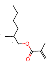 C=C(C)C(=O)OCC(C)CCCC